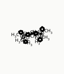 Cc1cccc(C)c1OP(=O)(Oc1ccc(C(C)(C)c2ccc(OP(=O)(Oc3c(C)cccc3C)Oc3c(C)cccc3C)cc2)cc1)Oc1c(C)cccc1C